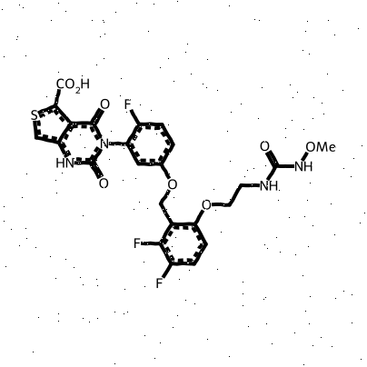 CONC(=O)NCCOc1ccc(F)c(F)c1COc1ccc(F)c(-n2c(=O)[nH]c3csc(C(=O)O)c3c2=O)c1